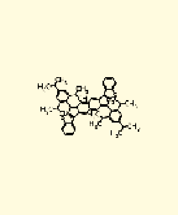 CC(C)c1cc(C(C)C)c(C2=c3cc4cc5c(cc4cc3-c3c2sc2ccccc32)=C(c2c(C(C)C)cc(C(C)C)cc2C(C)C)c2sc3ccccc3c2-5)c(C(C)C)c1